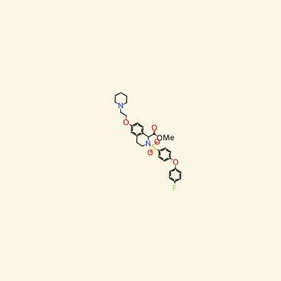 COC(=O)C1c2ccc(OCCN3CCCCC3)cc2CCN1S(=O)(=O)c1ccc(Oc2ccc(F)cc2)cc1